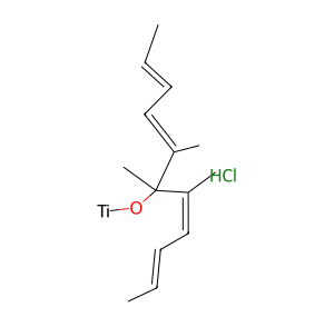 CC=CC=C(C)C(C)([O][Ti])C(C)=CC=CC.Cl